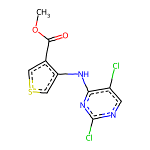 COC(=O)c1cscc1Nc1nc(Cl)ncc1Cl